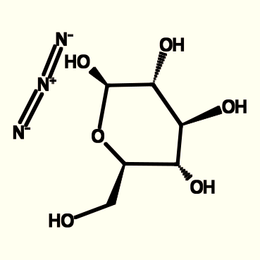 OC[C@H]1O[C@@H](O)[C@H](O)[C@@H](O)[C@@H]1O.[N-]=[N+]=[N-]